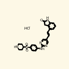 Cl.O=C1Cc2c(C=Cc3cnc(Nc4ccc(S(=O)(=O)C5CCNCC5)cc4)nc3)cccc2N1